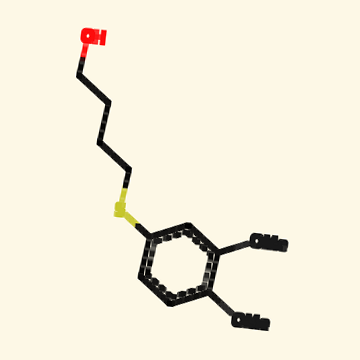 COc1ccc(SCCCCO)cc1OC